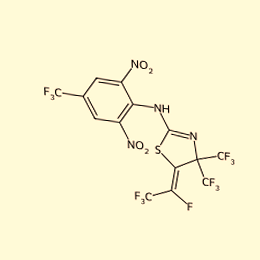 O=[N+]([O-])c1cc(C(F)(F)F)cc([N+](=O)[O-])c1NC1=NC(C(F)(F)F)(C(F)(F)F)C(=C(F)C(F)(F)F)S1